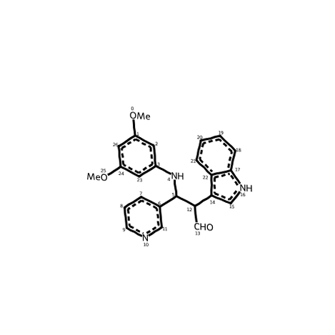 COc1cc(NC(c2cccnc2)C(C=O)c2c[nH]c3ccccc23)cc(OC)c1